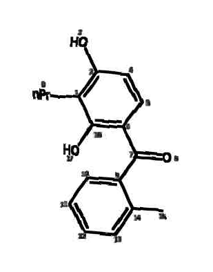 CCCc1c(O)ccc(C(=O)c2ccccc2C)c1O